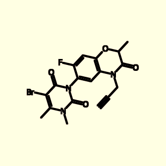 C#CCN1C(=O)C(C)Oc2cc(F)c(-n3c(=O)c(Br)c(C)n(C)c3=O)cc21